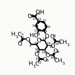 CC(=O)OCC1O[C@@H](Oc2ccc(C(=O)O)cc2O)[C@@H](OC(C)=O)[C@@H](OC(C)=O)[C@H]1OC(C)=O